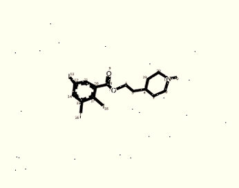 CN1CCC(CCOC(=O)c2cc(I)cc(I)c2I)CC1